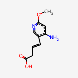 COc1cc(N)c(/C=C/CC(=O)O)cn1